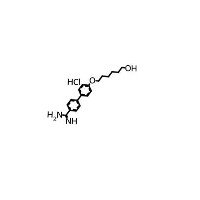 Cl.N=C(N)c1ccc(-c2ccc(OCCCCCCO)cc2)cc1